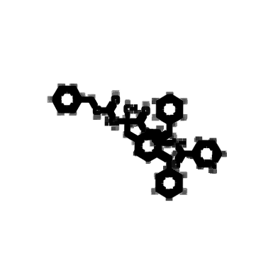 C[C@@](Cc1ccc(=Cc2ccccc2)c(=Cc2ccccc2)c1)(NC(=O)OCc1ccccc1)C(=O)OCCNC(=O)c1cccnc1